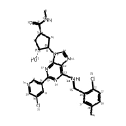 CNC(=O)[C@@H]1C[C@@H](O)[C@H](n2cnc3c(NCc4cc(C)ccc4Cl)nc(-c4cncc(Cl)c4)nc32)C1